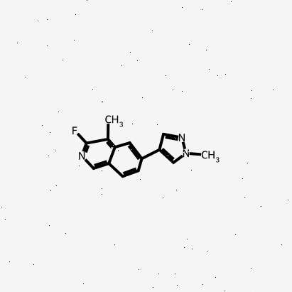 Cc1c(F)ncc2ccc(-c3cnn(C)c3)cc12